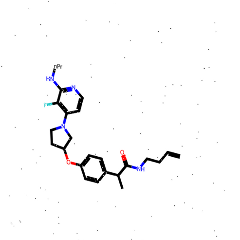 C=CCCNC(=O)C(C)c1ccc(OC2CCN(c3ccnc(NCCC)c3F)C2)cc1